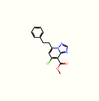 COC(=O)c1c(Cl)cc(CCc2ccccc2)n2ncnc12